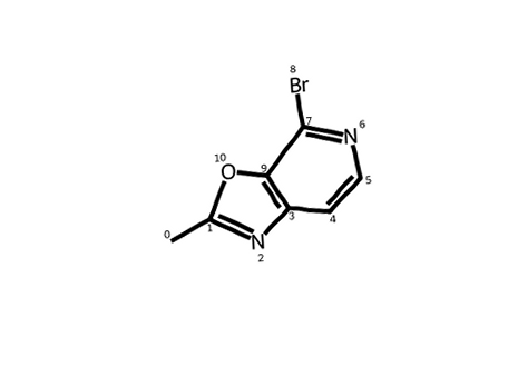 Cc1nc2ccnc(Br)c2o1